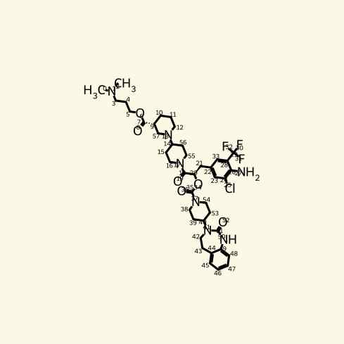 CN(C)CCCOC(=O)[C@@H]1CCCN(C2CCN(C(=O)[C@@H](Cc3cc(Cl)c(N)c(C(F)(F)F)c3)OC(=O)N3CCC(N4CCc5ccccc5NC4=O)CC3)CC2)C1